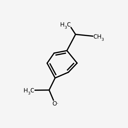 CC(C)c1ccc(C(C)[O])cc1